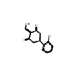 O=C1CC(c2ccccc2Cl)CC(=O)C1=CO